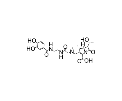 C[C@@H](O)[C@H]1C(=O)N2C(C(=O)O)=C(CN(C)CC(=O)NCCNC(=O)c3ccc(O)c(O)c3)[C@H](C)[C@H]12